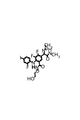 CNC(=O)/C(=N\OC)c1cc(C(=O)NOCCO)c(Nc2ccc(I)cc2F)c(F)c1F